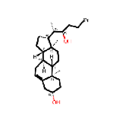 CC(C)CC[C@@H](O)[C@@H](C)[C@H]1CC[C@H]2[C@@H]3CC=C4C[C@@H](O)CC[C@]4(C)[C@H]3CC[C@]12C